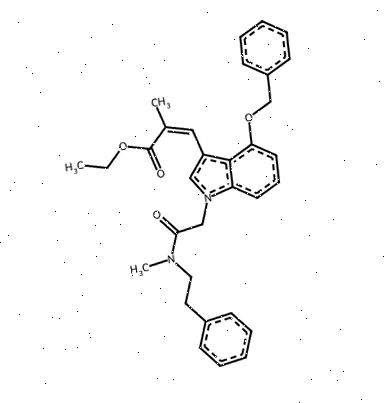 CCOC(=O)C(C)=Cc1cn(CC(=O)N(C)CCc2ccccc2)c2cccc(OCc3ccccc3)c12